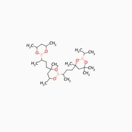 CC1CC(C)OB(C(C)CCC2(C)CC(C)OB(C(C)CCC3(C)CC(C)(C)OB(C(C)C)O3)O2)O1